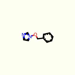 c1ccc(COn2ccnc2)cc1